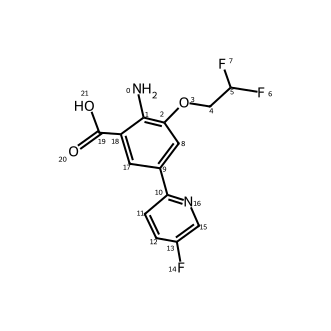 Nc1c(OCC(F)F)cc(-c2ccc(F)cn2)cc1C(=O)O